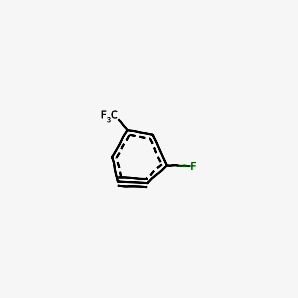 Fc1c#ccc(C(F)(F)F)c1